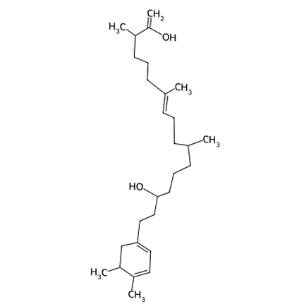 C=C(O)C(C)CCC/C(C)=C/CCC(C)CCCC(O)CCC1=CC=C(C)C(C)C1